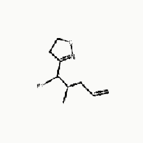 C=CCC(C)C(CC)C1=NOCC1